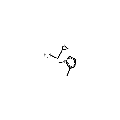 Cc1cccn1C.NCC1CO1